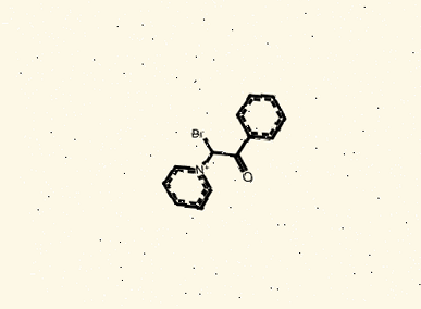 O=C(c1ccccc1)C(Br)[n+]1ccccc1